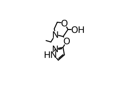 CCN1CCOC(O)C1Oc1cc[nH]n1